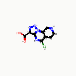 O=C(O)c1nnn2c1nc(Cl)c1ccncc12